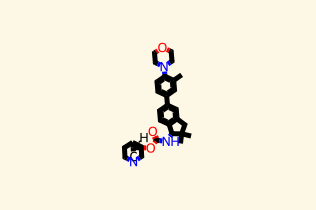 Cc1cc(-c2ccc3c(c2)CC(C)(C)C3NC(=O)O[C@H]2CN3CCC2CC3)ccc1N1CCOCC1